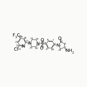 NC1CC(=O)N(c2ccc(S(=O)(=O)N3CCN(c4cc(C(F)(F)F)cc(Cl)n4)CC3)cc2)C1